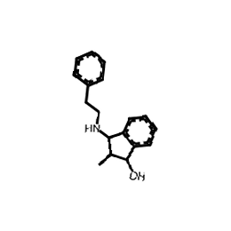 CC1C(O)c2ccccc2C1NCCc1ccccc1